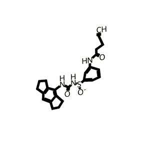 C#CCCC(=O)Nc1cccc([S+]([O-])NC(=O)Nc2c3c(cc4c2CCC4)CCC3)c1